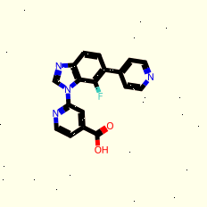 O=C(O)c1ccnc(-n2cnc3ccc(-c4ccncc4)c(F)c32)c1